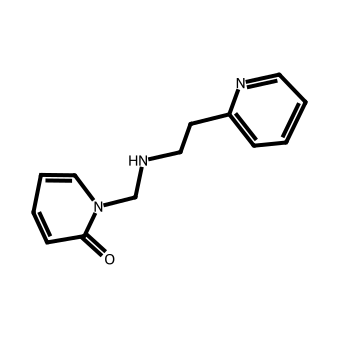 O=c1ccccn1CNCCc1ccccn1